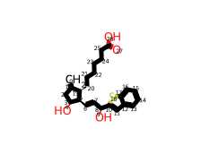 C=C1C[C@@H](O)[C@H](/C=C/[C@@H](O)c2cc3ccccc3s2)[C@H]1CCCCCCC(=O)O